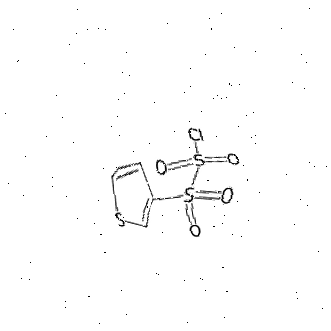 O=S(=O)(Cl)S(=O)(=O)c1ccsc1